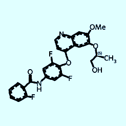 COc1cc2nccc(Oc3c(F)cc(NC(=O)c4ccccc4F)cc3F)c2cc1O[C@@H](C)CO